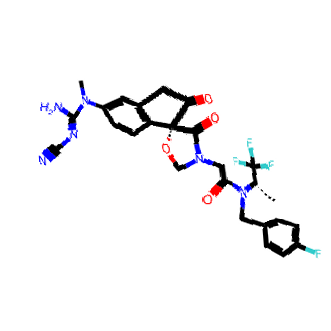 C[C@H](N(Cc1ccc(F)cc1)C(=O)CN1CO[C@]2(C(=O)Cc3cc(N(C)C(N)=NC#N)ccc32)C1=O)C(F)(F)F